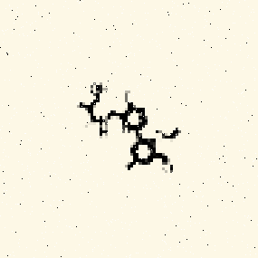 CCOc1c(C=O)cc(C)cc1-c1ccc(F)c(CN[C@H](C)C(C)CO)n1